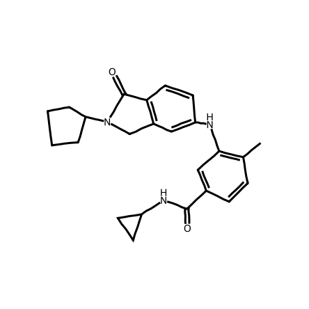 Cc1ccc(C(=O)NC2CC2)cc1Nc1ccc2c(c1)CN(C1CCCC1)C2=O